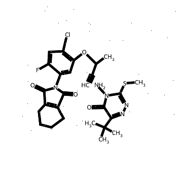 C#CC(C)Oc1cc(N2C(=O)C3=C(CCCC3)C2=O)c(F)cc1Cl.CSc1nnc(C(C)(C)C)c(=O)n1N